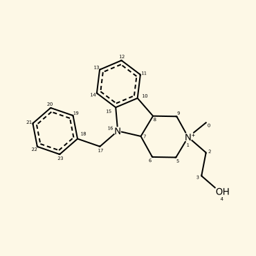 C[N+]1(CCO)CCC2C(C1)c1ccccc1N2Cc1ccccc1